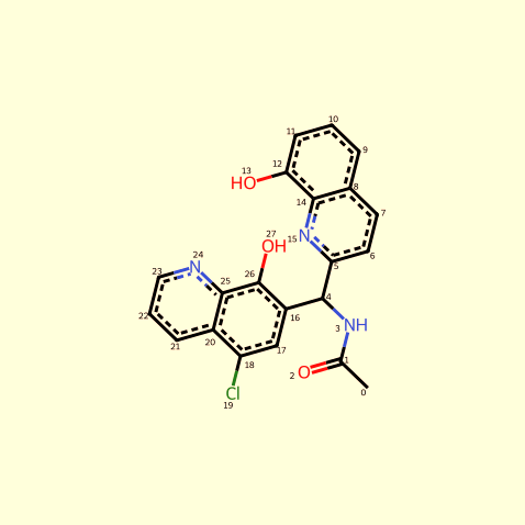 CC(=O)NC(c1ccc2cccc(O)c2n1)c1cc(Cl)c2cccnc2c1O